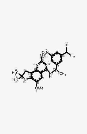 COc1cc2c(N[C@H](C)c3cc(C(F)F)cc([N+](=O)[O-])c3)nc(C)nc2c2c1OC(C)(C)C2